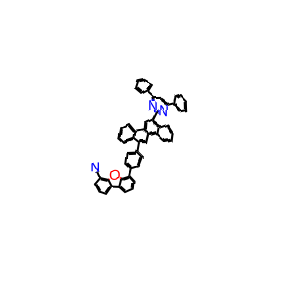 N#Cc1cccc2c1oc1c(-c3ccc(-c4cc5c6ccccc6c(-c6nc(-c7ccccc7)cc(-c7ccccc7)n6)cc5c5ccccc45)cc3)cccc12